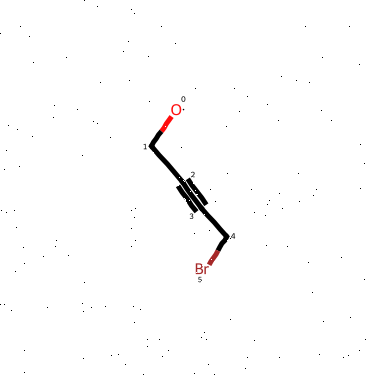 [O]CC#CCBr